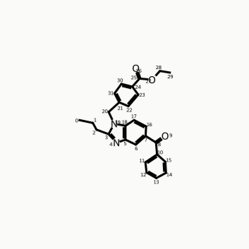 CCCc1nc2cc(C(=O)c3ccccc3)ccc2n1Cc1ccc(C(=O)OCC)cc1